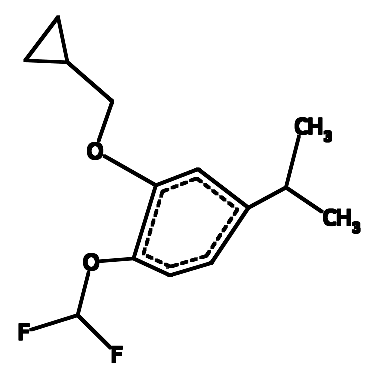 CC(C)c1ccc(OC(F)F)c(OCC2CC2)c1